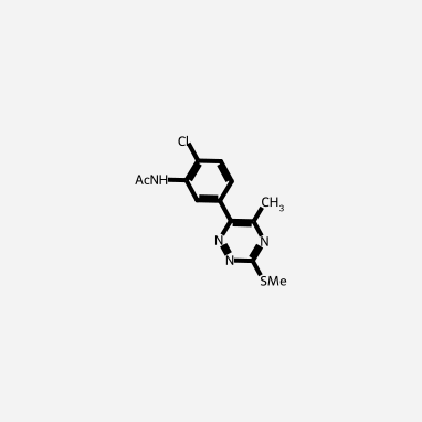 CSc1nnc(-c2ccc(Cl)c(NC(C)=O)c2)c(C)n1